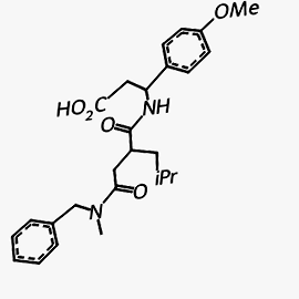 COc1ccc(C(CC(=O)O)NC(=O)C(CC(=O)N(C)Cc2ccccc2)CC(C)C)cc1